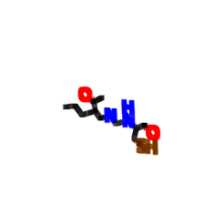 CCCC(CN=CNC(C=O)CS)C(C)=O